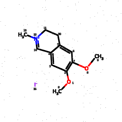 COc1cc2c(cc1OC)CC[N+](C)=C2.[I-]